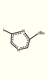 CC(C)(C)c1cncc(I)n1